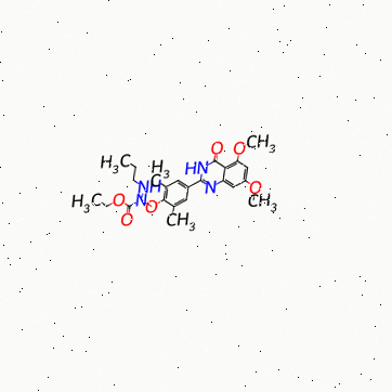 CCCNN(Oc1c(C)cc(-c2nc3cc(OC)cc(OC)c3c(=O)[nH]2)cc1C)C(=O)OCC